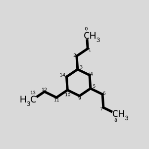 CCCC1[CH]C(CCC)CC(CCC)C1